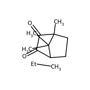 CC12CCC(C(=O)C1=O)C2(C)C.CCC